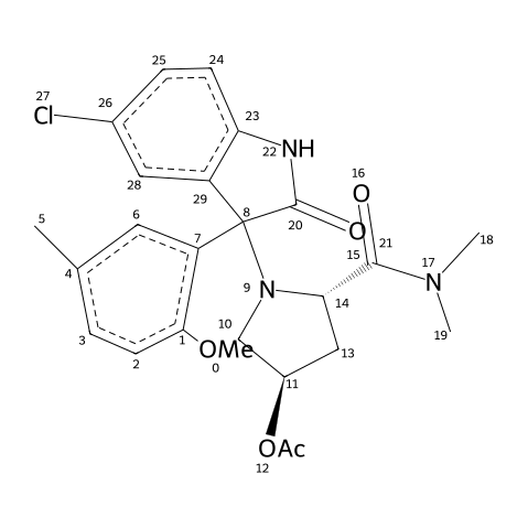 COc1ccc(C)cc1C1(N2C[C@H](OC(C)=O)C[C@H]2C(=O)N(C)C)C(=O)Nc2ccc(Cl)cc21